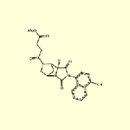 COC(=O)CCC(=O)N1CC2CC1[C@@H]1C(=O)N(c3cnc(C#N)c4ccccc34)C(=O)N21